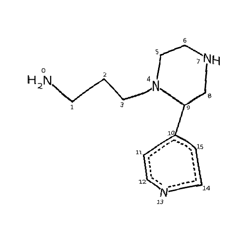 NCCCN1CCNCC1c1ccncc1